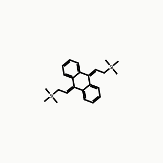 C[Si](C)(C)CC=c1c2ccccc2c(=CC[Si](C)(C)C)c2ccccc12